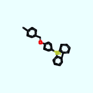 Cc1ccc(COc2ccc([SH]3c4ccccc4-c4ccccc43)cc2)cc1